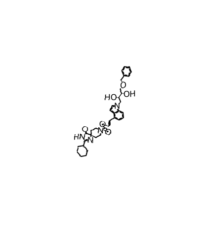 O=C1NC(C2CCCCC2)=NC12CCN(S(=O)(=O)/C=C/c1cccc3c1ccn3C[C@H](O)[C@@H](O)COCc1ccccc1)CC2